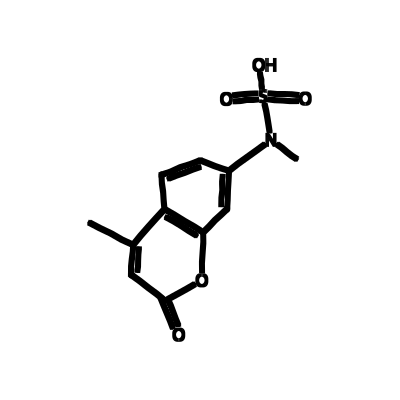 Cc1cc(=O)oc2cc(N(C)S(=O)(=O)O)ccc12